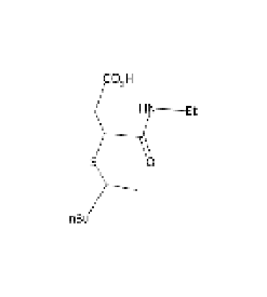 CCCCC(C)SC(CC(=O)O)C(=O)NCC